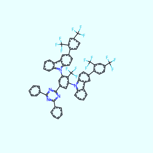 FC(F)(F)c1ccc(-c2ccc3c(c2)c2ccccc2n3-c2cc(-c3nc(-c4ccccc4)nc(-c4ccccc4)n3)cc(-n3c4ccccc4c4cc(-c5ccc(C(F)(F)F)cc5C(F)(F)F)ccc43)c2C(F)(F)F)c(C(F)(F)F)c1